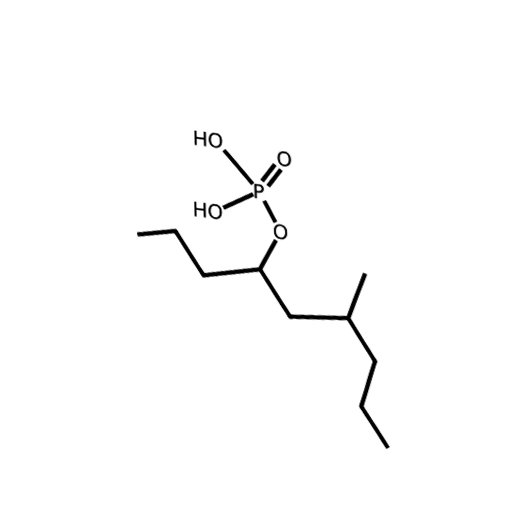 CCCC(C)CC(CCC)OP(=O)(O)O